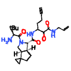 C#CCCC(NC(=O)[C@@H]1[C@H]2CCC3(CC3)[C@H]2CN1C(=O)[C@@H](N)C(C)(C)C)C(=O)C(=O)NCC=C